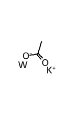 CC(=O)[O-].[K+].[W]